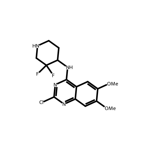 COc1cc2nc(Cl)nc(NC3CCNCC3(F)F)c2cc1OC